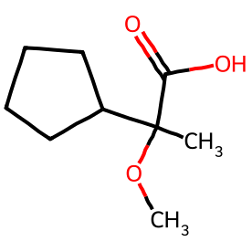 COC(C)(C(=O)O)C1CCCC1